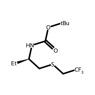 CC[C@H](CSCC(F)(F)F)NC(=O)OC(C)(C)C